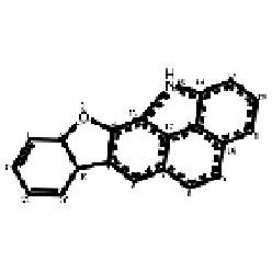 C1=CC2Oc3c(cc4ccc5cccc6[nH]c3c4c56)C2C=C1